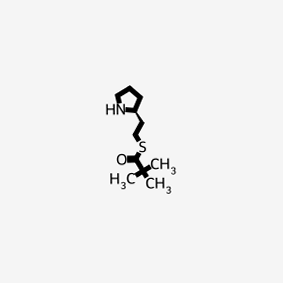 CC(C)(C)C(=O)SCC[C@@H]1CCCN1